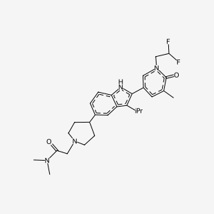 Cc1cc(-c2[nH]c3ccc(C4CCN(CC(=O)N(C)C)CC4)cc3c2C(C)C)cn(CC(F)F)c1=O